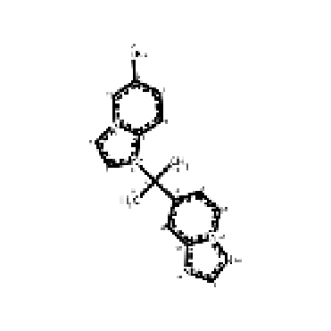 CC(C)(C)c1ccc2n(cc[n+]2C(C)(C)c2ccn3ncnc3c2)c1